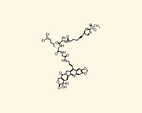 CCN(CC)CCCC[C@H](NC(=O)[C@@H](NC(=O)CCCC#Cc1cnc(S(C)(=O)=O)nc1)C(C)C)C(=O)NCC(=O)NC/C=C/c1c2c(nc3cc4c(cc13)OCO4)-c1cc3c(c(=O)n1C2)COC(=O)[C@]3(O)CC